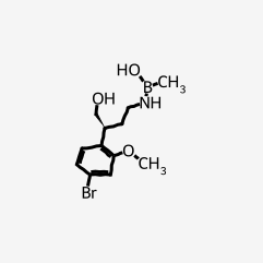 COc1cc(Br)ccc1[C@@H](CO)CCNB(C)O